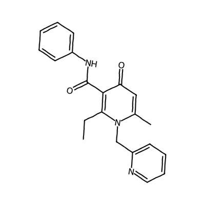 CCc1c(C(=O)Nc2ccccc2)c(=O)cc(C)n1Cc1ccccn1